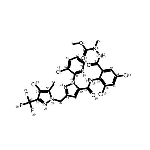 COC(=O)N(C)NC(=O)c1cc(Cl)cc(Cl)c1NC(=O)c1cc(Cn2nc(C(F)(F)F)c(Cl)c2C)nn1-c1ncccc1Cl